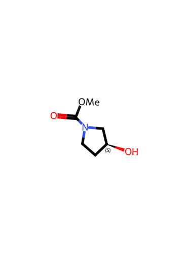 COC(=O)N1CC[C@H](O)C1